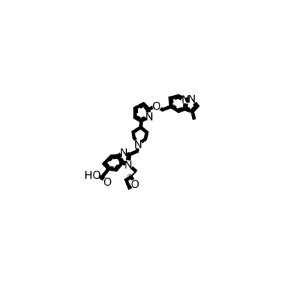 Cc1cnn2ccc(COc3cccc(C4CCN(Cc5nc6ccc(C(=O)O)cc6n5C[C@@H]5CCO5)CC4)n3)cc12